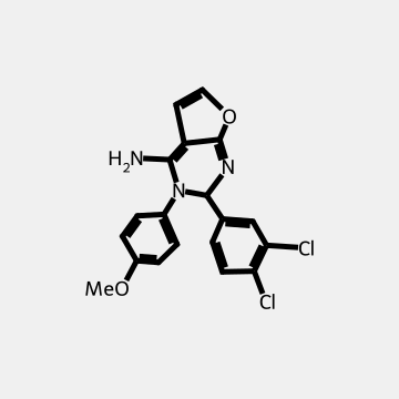 COc1ccc(N2C(N)=c3ccoc3=NC2c2ccc(Cl)c(Cl)c2)cc1